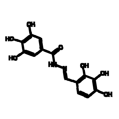 O=C(NN=Cc1ccc(O)c(O)c1O)c1cc(O)c(O)c(O)c1